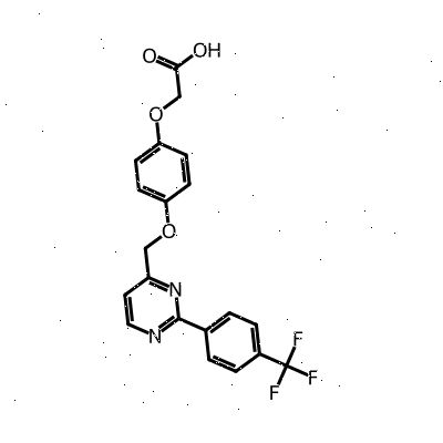 O=C(O)COc1ccc(OCc2ccnc(-c3ccc(C(F)(F)F)cc3)n2)cc1